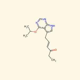 CCC(=O)C=CCc1c[nH]c2ncnc(OC(C)C)c12